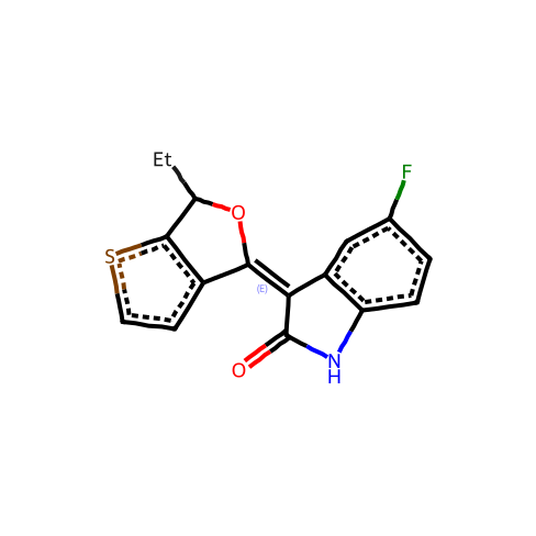 CCC1O/C(=C2/C(=O)Nc3ccc(F)cc32)c2ccsc21